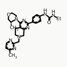 CCNC(=O)Nc1ccc(-c2nc3c(c(N4CCOC[C@@H]4C)n2)CCN(Cc2nccc(C)n2)C3)cc1